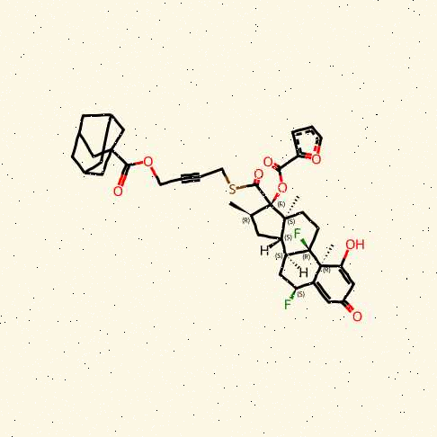 C[C@@H]1C[C@H]2[C@@H]3C[C@H](F)C4=CC(=O)C=C(O)[C@]4(C)[C@@]3(F)CC[C@]2(C)[C@@]1(OC(=O)c1ccco1)C(=O)SCC#CCOC(=O)C12CC3CC(CC(C3)C1)C2